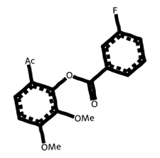 COc1ccc(C(C)=O)c(OC(=O)c2cccc(F)c2)c1OC